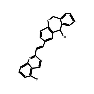 OC1c2ccccc2COc2ccc(C=Cc3ccc4c(F)cccc4n3)cc21